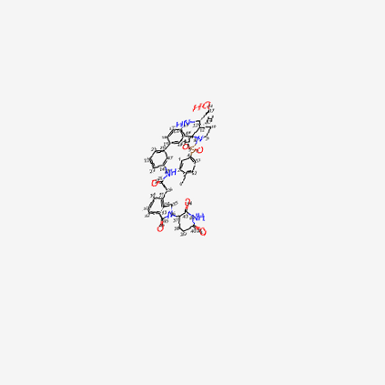 Cc1ccc(S(=O)(=O)N2CC[C@@H]3[C@H](CO)Nc4ccc(-c5cccc(NC(=O)Cc6cccc7c6CN(C6CCC(=O)NC6=O)C7=O)c5)cc4[C@@H]32)cc1